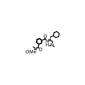 CON(C)C(=O)c1cccc(C(=O)N[C@@H](CC2CCCCC2)CN(C)C)c1